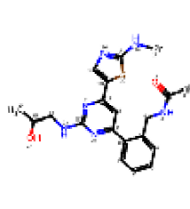 CCCC(=O)NCc1ccccc1-c1cc(-c2cnc(NC(C)C)s2)nc(NCC(C)O)n1